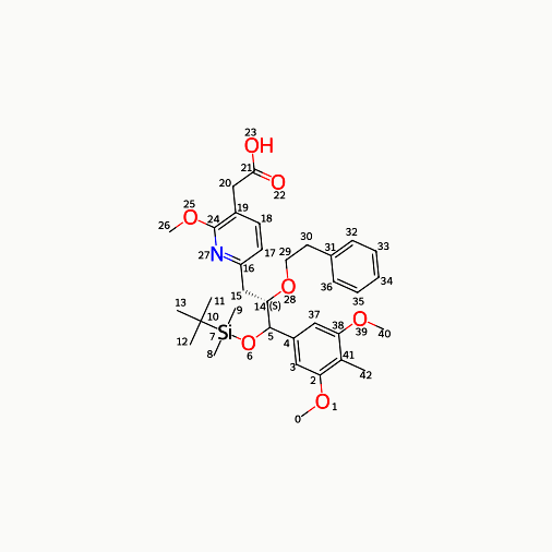 COc1cc(C(O[Si](C)(C)C(C)(C)C)[C@H](Cc2ccc(CC(=O)O)c(OC)n2)OCCc2ccccc2)cc(OC)c1C